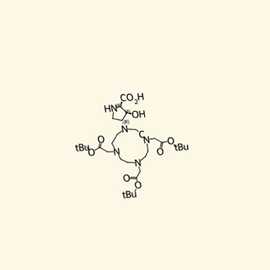 CC(C)(C)OC(=O)CN1CCN(CC(=O)OC(C)(C)C)CCN([C@@H]2CN[C@@H](C(=O)O)[C@H]2O)CCN(CC(=O)OC(C)(C)C)CC1